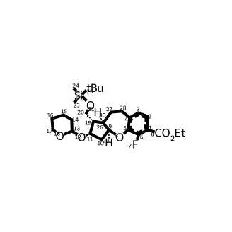 CCOC(=O)c1ccc2c(c1F)O[C@H]1C[C@@H](OC3CCCCO3)[C@H](CO[Si](C)(C)C(C)(C)C)[C@H]1CC2